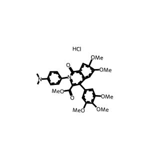 COC(=O)c1c(-c2cc(OC)c(OC)c(OC)c2)c2cc(OC)c(OC)cc2c(=O)n1-c1ccc(N(C)C)cc1.Cl